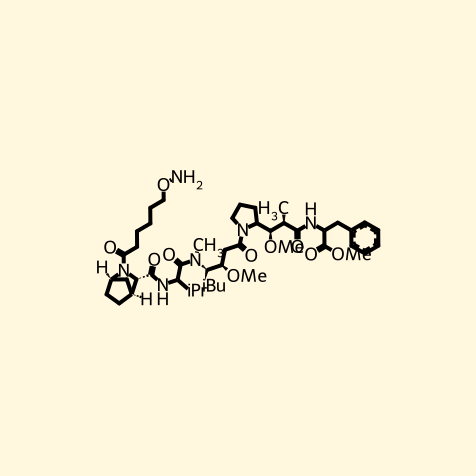 CC[C@H](C)[C@@H]([C@@H](CC(=O)N1CCCC1[C@H](OC)[C@@H](C)C(=O)NC(Cc1ccccc1)C(=O)OC)OC)N(C)C(=O)C(NC(=O)[C@@H]1[C@H]2CC[C@H](C2)N1C(=O)CCCCCON)C(C)C